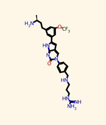 C[C@H](N)CCc1cc(OC(F)(F)F)cc(-c2cc3cn(-c4ccc(CNCCCNC(=N)N)cc4)c(=O)nc3[nH]2)c1